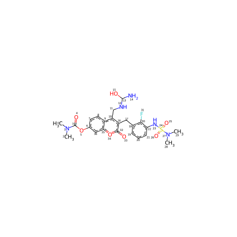 CN(C)C(=O)Oc1ccc2c(CNC(N)O)c(Cc3cccc(NS(=O)(=O)N(C)C)c3F)c(=O)oc2c1